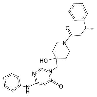 C[C@H](CC(=O)N1CCC(O)(Cn2cnc(Nc3ccccc3)cc2=O)CC1)c1ccccc1